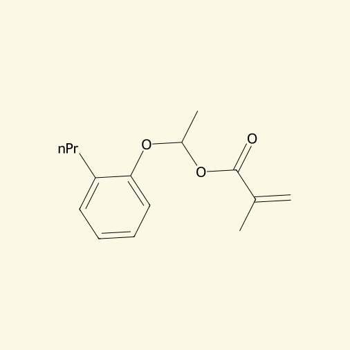 C=C(C)C(=O)OC(C)Oc1ccccc1CCC